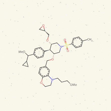 COCCCN1CCOc2ccc(CO[C@H]3CN(S(=O)(=O)c4ccc(C)cc4)C[C@@H](OC[C@H]4CO4)[C@@H]3c3ccc(C(OC)C4CC4)cc3)cc21